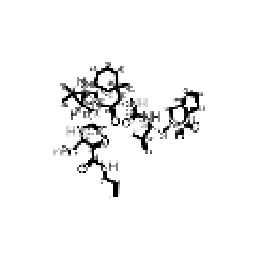 C=CCNC(=O)C(=O)C(CCC)NC(=O)[C@@H]1[C@@H]2[C@H](CN1C(=O)[C@@H](NC(=O)N[C@H](CN1Cc3sccc3S1(=O)=O)C(=C)C)C1(C)CCCCC1)C2(C)C